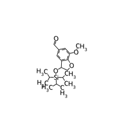 COc1cc(C=O)cc2c1OCC2O[Si](C(C)C)(C(C)C)C(C)C